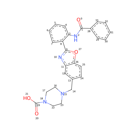 O=C(Nc1ccccc1-c1nc2cc(CN3CCN(C(=O)O)CC3)ccc2o1)c1ccccc1